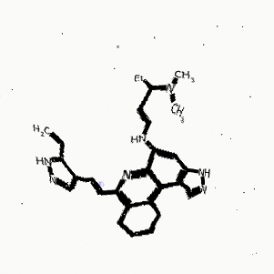 C=CC1NN=CC1/C=C/c1nc2c(NCCC(CC)N(C)C)cc3[nH]ncc3c2c2c1CCCC2